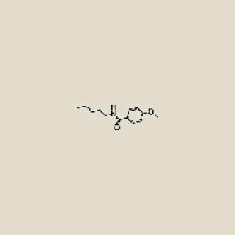 CCCCCNC(=O)c1ccc(OC)cc1